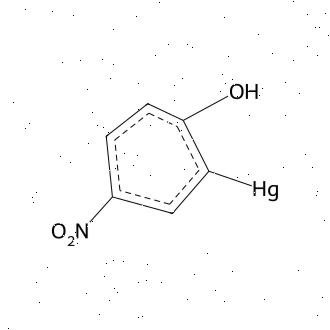 O=[N+]([O-])c1ccc(O)[c]([Hg])c1